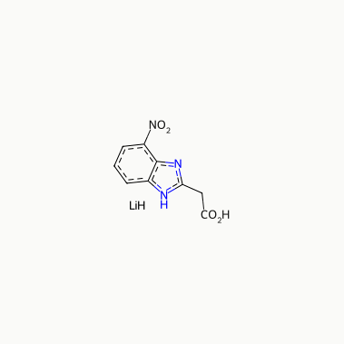 O=C(O)Cc1nc2c([N+](=O)[O-])cccc2[nH]1.[LiH]